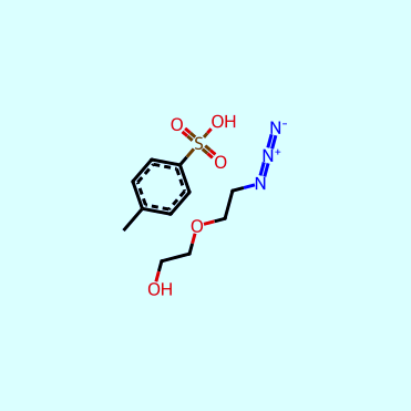 Cc1ccc(S(=O)(=O)O)cc1.[N-]=[N+]=NCCOCCO